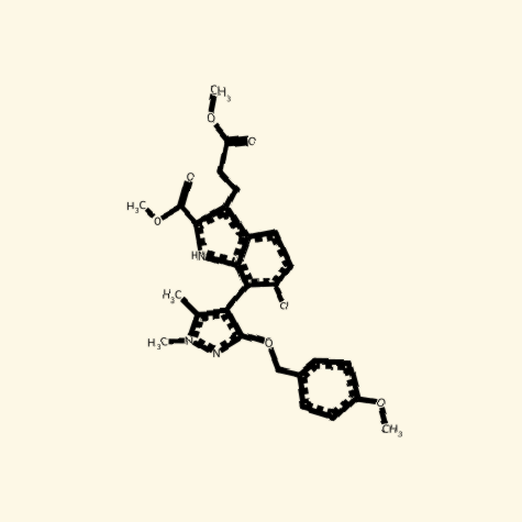 COC(=O)CCc1c(C(=O)OC)[nH]c2c(-c3c(OCc4ccc(OC)cc4)nn(C)c3C)c(Cl)ccc12